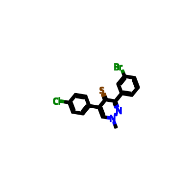 Cn1cc(-c2ccc(Cl)cc2)c(=S)c(-c2cccc(Br)c2)n1